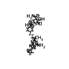 CN(CCCc1ccc(NS(=O)(=O)c2cc(Cl)c(O)c(C(N)=O)c2)cc1)c1nc(N)n2nc(-c3ccco3)nc2n1